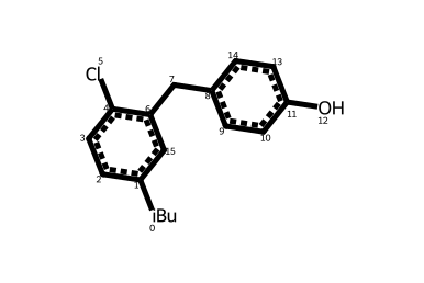 CCC(C)c1ccc(Cl)c(Cc2ccc(O)cc2)c1